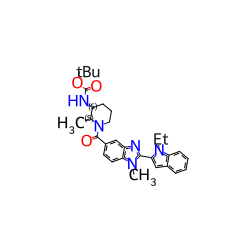 CCn1c(-c2nc3cc(C(=O)N4CCC[C@H](NC(=O)OC(C)(C)C)[C@@H]4C)ccc3n2C)cc2ccccc21